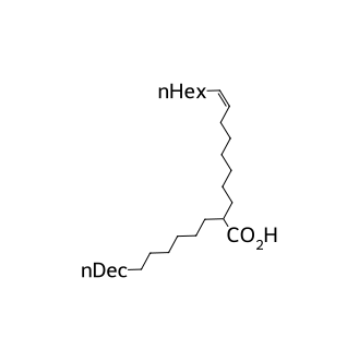 CCCCCC/C=C\CCCCCCC(CCCCCCCCCCCCCCCC)C(=O)O